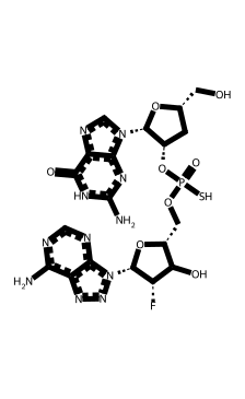 Nc1nc2c(ncn2[C@@H]2O[C@H](CO)C[C@@H]2OP(=O)(S)OC[C@H]2O[C@@H](n3nnc4c(N)ncnc43)[C@@H](F)C2O)c(=O)[nH]1